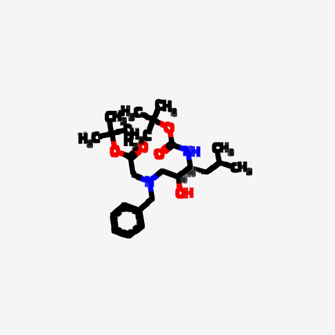 CC(C)C[C@@H](NC(=O)OC(C)(C)C)[C@@H](O)CN(CC(=O)OC(C)(C)C)Cc1ccccc1